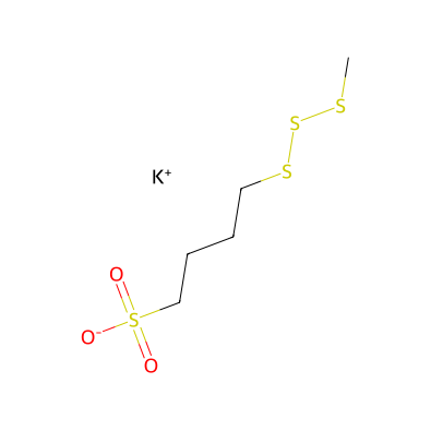 CSSSCCCCS(=O)(=O)[O-].[K+]